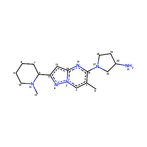 Cc1cn2nc(C3CCCCN3C)cc2nc1N1CCC(N)C1